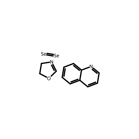 C1=NCCO1.[Se]=[Se].c1ccc2ncccc2c1